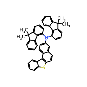 CC1(C)c2ccccc2-c2c(N(c3ccc4c(ccc5sc6ccccc6c54)c3)c3cccc4c3-c3ccccc3C4(C)C)cccc21